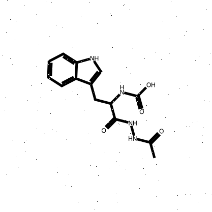 CC(=O)NNC(=O)C(Cc1c[nH]c2ccccc12)NC(=O)O